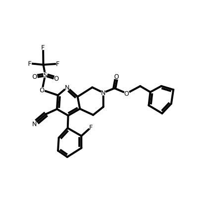 N#Cc1c(OS(=O)(=O)C(F)(F)F)nc2c(c1-c1ccccc1F)CCN(C(=O)OCc1ccccc1)C2